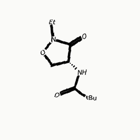 CCN1OC[C@@H](NC(=O)C(C)(C)C)C1=O